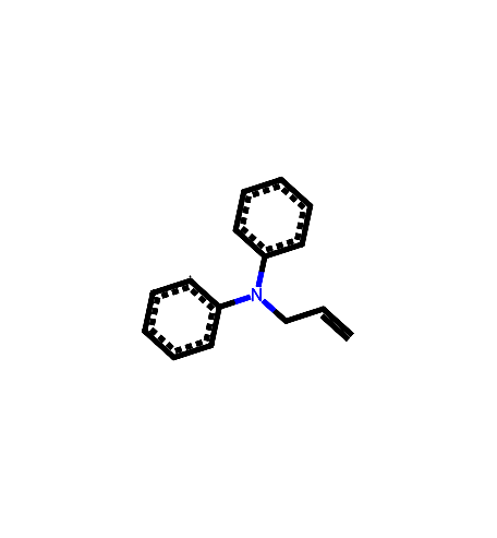 C=CCN(c1[c]cccc1)c1ccccc1